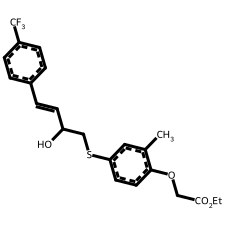 CCOC(=O)COc1ccc(SCC(O)/C=C/c2ccc(C(F)(F)F)cc2)cc1C